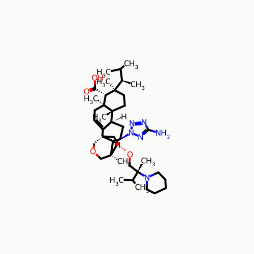 CC(C)[C@@H](C)[C@@]1(C)CC[C@]2(C)[C@H]3CC[C@@H]4[C@@]5(COC[C@]4(C)[C@@H](OC[C@@](C)(C(C)C)N4CCCCC4)[C@H](n4nnc(N)n4)C5)C3=CC[C@@]2(C)[C@@H]1C(=O)O